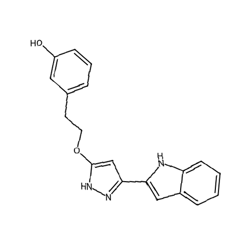 Oc1cccc(CCOc2cc(-c3cc4ccccc4[nH]3)n[nH]2)c1